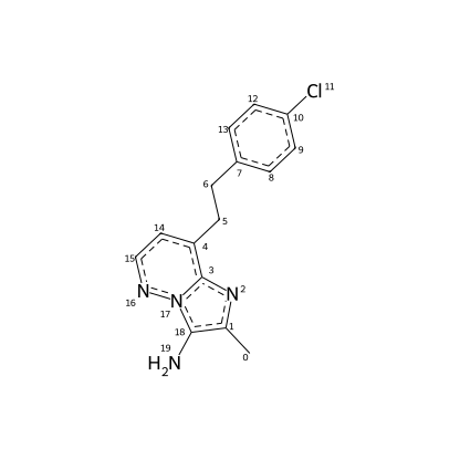 Cc1nc2c(CCc3ccc(Cl)cc3)ccnn2c1N